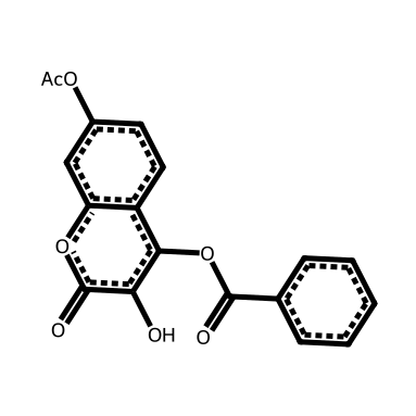 CC(=O)Oc1ccc2c(OC(=O)c3ccccc3)c(O)c(=O)oc2c1